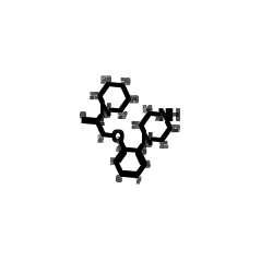 C=C(COc1ccccc1N1CCNCC1)N1CCCCC1